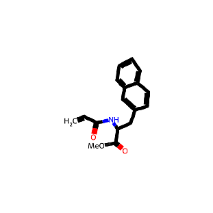 C=CC(=O)NC(Cc1ccc2ccccc2c1)C(=O)OC